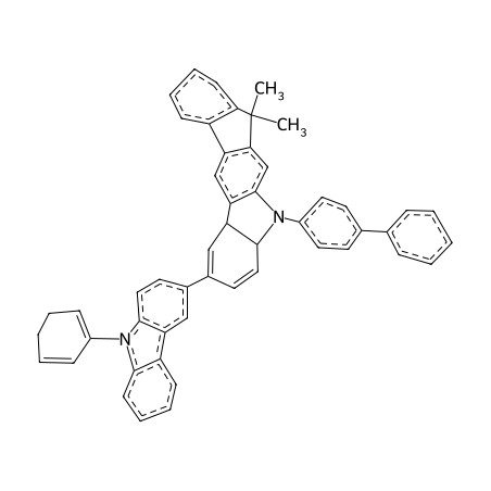 CC1(C)c2ccccc2-c2cc3c(cc21)N(c1ccc(-c2ccccc2)cc1)C1C=CC(c2ccc4c(c2)c2ccccc2n4C2=CCCC=C2)=CC31